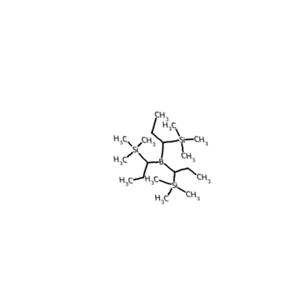 CCC(B(C(CC)[Si](C)(C)C)C(CC)[Si](C)(C)C)[Si](C)(C)C